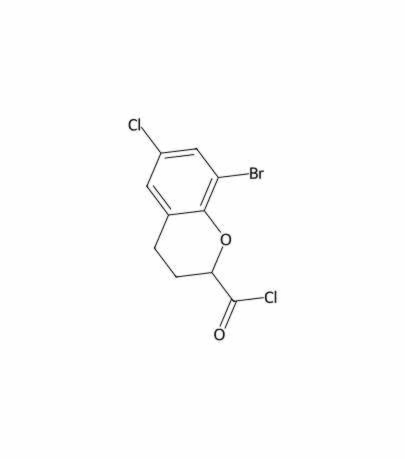 O=C(Cl)C1CCc2cc(Cl)cc(Br)c2O1